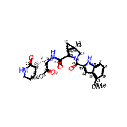 COC(=O)[C@H](C[C@@H]1CCCNC1=O)NC(=O)C1C2C[C@H]2CN1C(=O)c1cc2c(OC)cccc2[nH]1